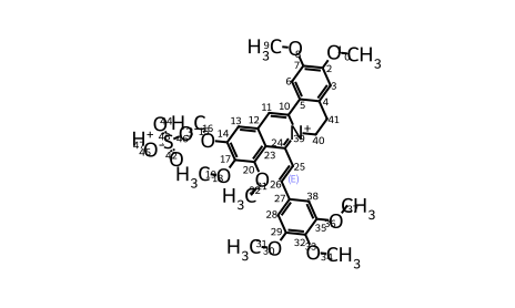 COc1cc2c(cc1OC)-c1cc3cc(OC)c(OC)c(OC)c3c(/C=C/c3cc(OC)c(OC)c(OC)c3)[n+]1CC2.O=S(=O)([O-])[O-].[H+]